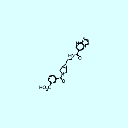 O=C(O)c1cccc(C(=O)N2CC3C(CCNC(=O)c4cnc5nccn5c4)C3C2)c1